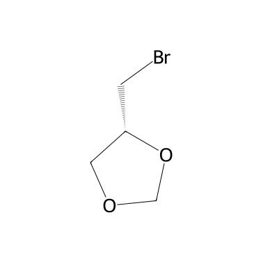 BrC[C@H]1COCO1